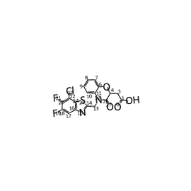 O=C(O)CC1Oc2ccccc2N(Cc2nc3cc(F)c(F)c(Cl)c3s2)C1=O